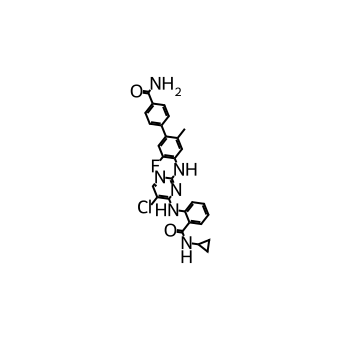 Cc1cc(Nc2ncc(Cl)c(Nc3ccccc3C(=O)NC3CC3)n2)c(F)cc1-c1ccc(C(N)=O)cc1